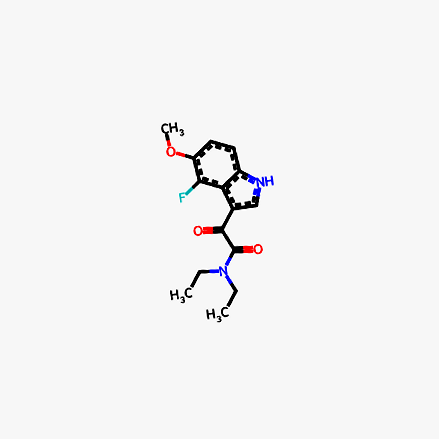 CCN(CC)C(=O)C(=O)c1c[nH]c2ccc(OC)c(F)c12